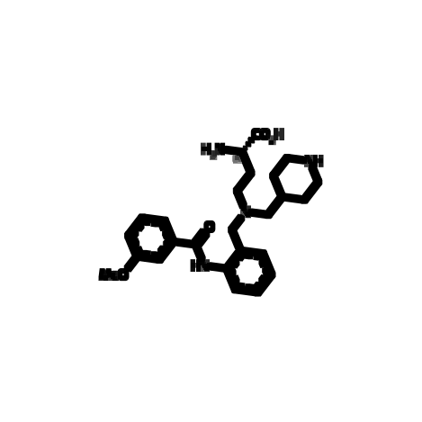 COc1cccc(C(=O)Nc2ccccc2CN(CC[C@H](N)C(=O)O)CC2CCNCC2)c1